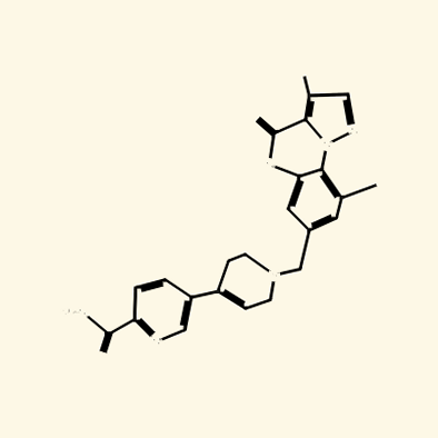 CNC(=O)c1ccc(C2=CCN(Cc3cc(C)c4c(c3)[nH]c(=O)c3c(C)cnn34)CC2)cn1